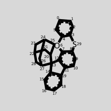 c1ccc2c(c1)Oc1c(ccc3c1C1(c4ccccc4-3)C3CC4CC(C3)CC1C4)S2